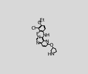 CCOc1ccc(Nc2ncnc3ccc(O[C@H]4CCNC4)nc23)c(F)c1Cl